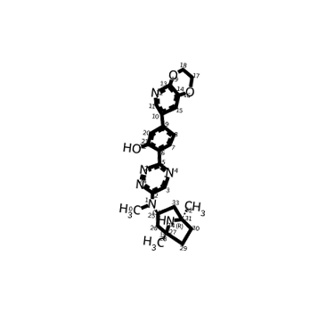 CN(c1cnc(-c2ccc(-c3cnc4c(c3)OCCO4)cc2O)nn1)[C@H]1C[C@]2(C)CC[C@](C)(C1)N2